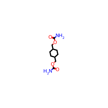 NC(=O)OCC1CCC(COC(N)=O)CC1